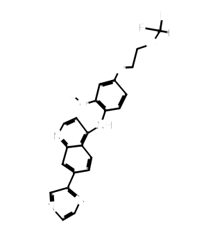 COc1cc(OCCOC(F)(F)F)ccc1Nc1ccnc2cc(-c3cnccn3)ccc12